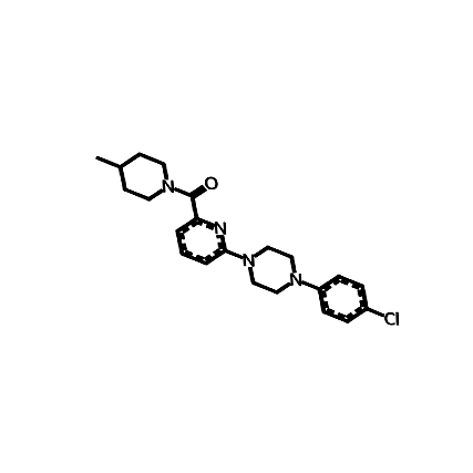 CC1CCN(C(=O)c2cccc(N3CCN(c4ccc(Cl)cc4)CC3)n2)CC1